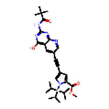 COC(=O)c1cc(C#Cc2cnc3nc(NC(=O)C(C)(C)C)nc(O)c3c2)cn1[Si](C(C)C)(C(C)C)C(C)C